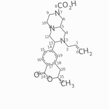 C=CCN1CC2CN(C(=O)O)CCN2CC1c1ccc2c(c1)C[C@@H](C)OC2=O